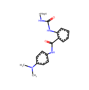 CCCCCCCNC(=O)Nc1ccccc1C(=O)Nc1ccc(N(C)C)cc1